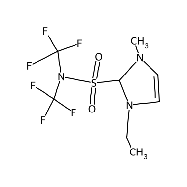 CCN1C=CN(C)C1S(=O)(=O)N(C(F)(F)F)C(F)(F)F